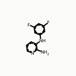 Nc1ncccc1Nc1cc(F)cc(F)c1